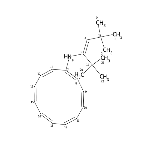 CC(C)(C)/C=C(/NC1=C/C=C\C=C/C=C\C=C/C=C\1)C(C)(C)C